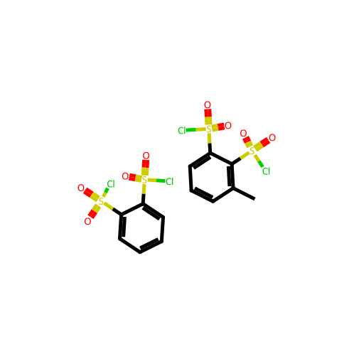 Cc1cccc(S(=O)(=O)Cl)c1S(=O)(=O)Cl.O=S(=O)(Cl)c1ccccc1S(=O)(=O)Cl